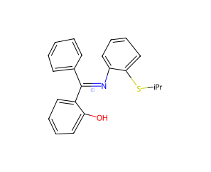 CC(C)Sc1ccccc1/N=C(\c1ccccc1)c1ccccc1O